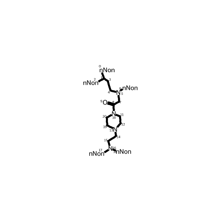 CCCCCCCCCC(CCCCCCCCC)CCN(CCCCCCCCC)CC(=O)N1CCN(CCN(CCCCCCCCC)CCCCCCCCC)CC1